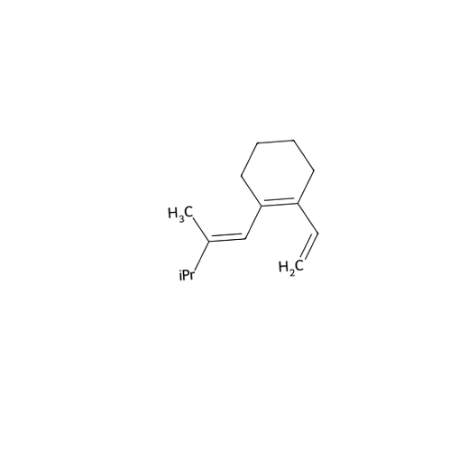 C=CC1=C(/C=C(\C)C(C)C)CCCC1